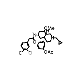 COC1C[C@H](N(C)C(=O)Cc2ccc(Cl)c(Cl)c2)C[C@]2(c3cccc(OC(C)=O)c3)CCN(CC3CC3)C[C@@H]12